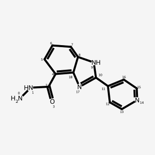 NNC(=O)c1cccc2[nH]c(-c3ccncc3)nc12